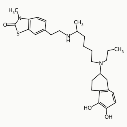 CCCN(CCCCC(C)NCCc1ccc2c(c1)sc(=O)n2C)C1CCc2c(ccc(O)c2O)C1